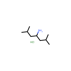 CC(C)CC(N)CC(C)C.Cl